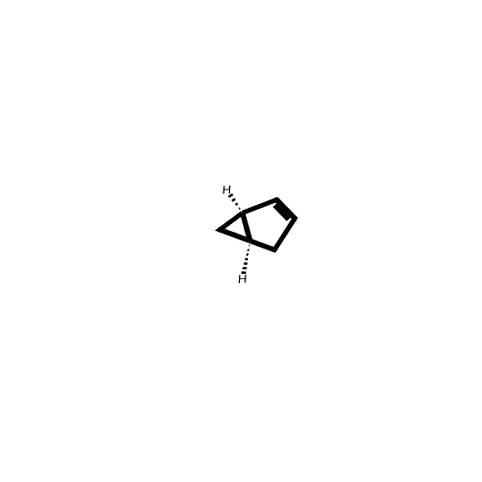 C1=C[C@@H]2C[C@@H]2C1